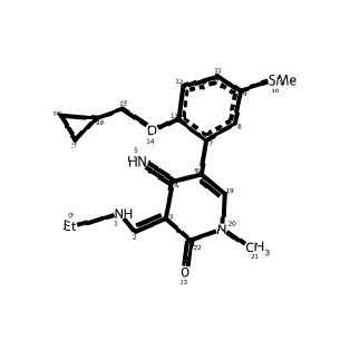 CCN/C=C1\C(=N)C(c2cc(SC)ccc2OCC2CC2)=CN(C)C1=O